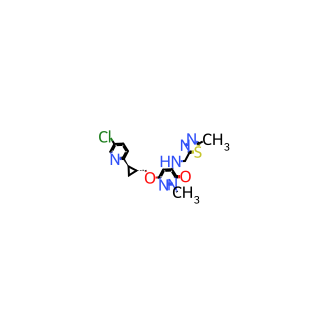 Cc1nnc(CNc2cc(OC[C@@H]3C[C@H]3c3ccc(Cl)cn3)nn(C)c2=O)s1